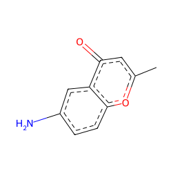 Cc1cc(=O)c2cc(N)ccc2o1